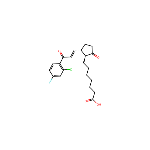 O=C(O)CCCCCC[C@@H]1C(=O)CC[C@H]1C=CC(=O)c1ccc(F)cc1Cl